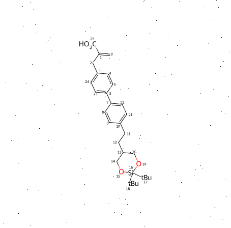 C=C(Cc1ccc(-c2ccc(CCC3CO[Si](C(C)(C)C)(C(C)(C)C)OC3)cc2)cc1)C(=O)O